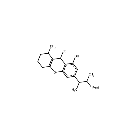 CCCCCC(C)C(C)c1cc(O)c2c(c1)OC1=C(C(C)CCC1)C2CC